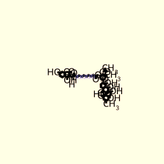 CC(=O)O[C@@H]1[C@@H](C)O[C@@H](c2ccc3c(c2O)C(O)C24OC2(C3=O)C2(O)C(=O)C=C(C)CC2(O)CC4O)C[C@H]1OC(=O)/C=C/C=C/C=C/C=C/C(=O)Nc1c(O)c2ccc(O)cc2oc1=O